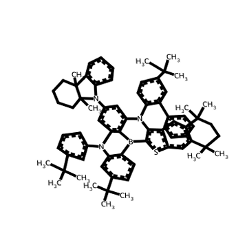 CC(C)(C)c1cccc(N2c3cc(C(C)(C)C)ccc3B3c4sc5cc6c(cc5c4N(c4ccc(C(C)(C)C)cc4-c4ccccc4)c4cc(N5c7ccccc7C7(C)CCCCC57C)cc2c43)C(C)(C)CCC6(C)C)c1